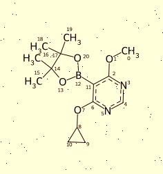 COc1ncnc(OC2CC2)c1B1OC(C)(C)C(C)(C)O1